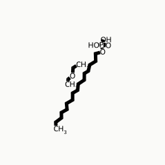 CCCCCCCCCCCCCCCCOP(=O)(O)O.CCOCC